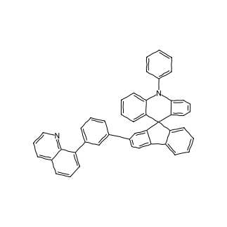 c1ccc(N2c3ccccc3C3(c4ccccc4-c4ccc(-c5cccc(-c6cccc7cccnc67)c5)cc43)c3ccccc32)cc1